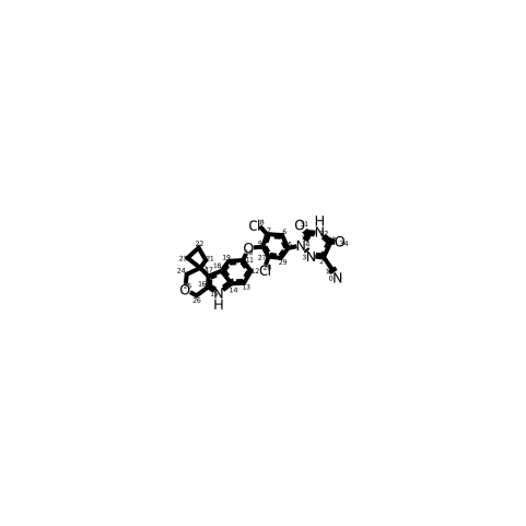 N#Cc1nn(-c2cc(Cl)c(Oc3ccc4[nH]c5c(c4c3)C3(CCC3)COC5)c(Cl)c2)c(=O)[nH]c1=O